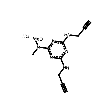 C#CCNc1nc(NCC#C)nc(N(C)OC)n1.Cl